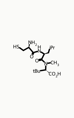 CC(C)C[C@H](NC(=O)[C@H](N)CS)C(=O)N(C)[C@H](C(=O)O)C(C)(C)C